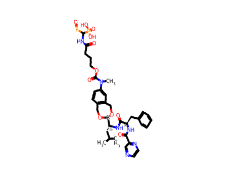 CC(C)C[C@@H](NC(=O)[C@@H](Cc1ccccc1)NC(=O)c1cnccn1)B1OCc2ccc(N(C)C(=O)OCCCC(=O)NC(P=O)P(=O)(O)O)cc2CO1